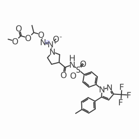 COC(=O)OC(C)O/N=[N+](\[O-])N1CCC(C(=O)NS(=O)(=O)c2ccc(-n3nc(C(F)(F)F)cc3-c3ccc(C)cc3)cc2)C1